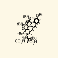 CCOc1ccc(CC(CN(CCN(CC(=O)O)C(C(=O)O)C(C)(C)C)CC(=O)OC(C)(C)C)N(CC(=O)OC(C)(C)C)CC(=O)OC(C)(C)C)cc1